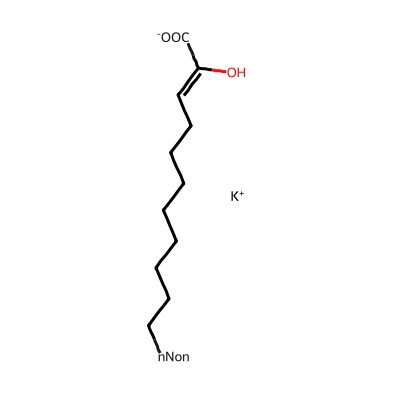 CCCCCCCCCCCCCCCCCC=C(O)C(=O)[O-].[K+]